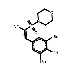 CC(C)(C)c1cc(/C=C(/C#N)S(=O)(=O)N2CCOCC2)cc(C(C)(C)C)c1O